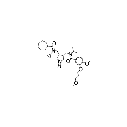 COCCCOc1cc(C(=O)N(C[C@@H]2CNC[C@H]2CN(C(=O)C2CCCCCC2)C2CC2)C(C)C)ccc1OC